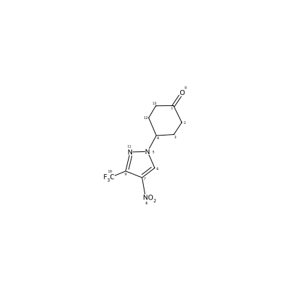 O=C1CCC(n2cc([N+](=O)[O-])c(C(F)(F)F)n2)CC1